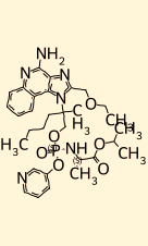 CCCCC(C)(CO[P@@](=O)(N[C@@H](C)C(=O)OC(C)C)Oc1cccnc1)n1c(COCC)nc2c(N)nc3ccccc3c21